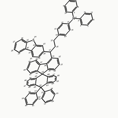 c1ccc(N(c2ccccc2)c2ccc(CCC(c3ccc4c(c3)sc3ccccc34)c3cccc4c3-c3ccccc3C43c4ccccc4C(c4ccccc4)(c4ccccc4)c4ccccc43)cc2)cc1